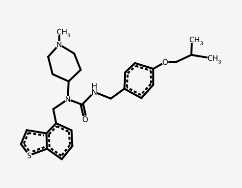 CC(C)COc1ccc(CNC(=O)N(Cc2cccc3sccc23)C2CCN(C)CC2)cc1